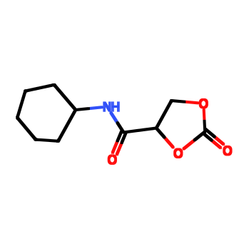 O=C1OCC(C(=O)NC2CCCCC2)O1